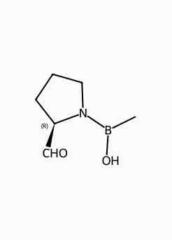 CB(O)N1CCC[C@@H]1C=O